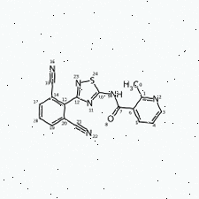 Cc1ncccc1C(=O)Nc1nc(-c2c(C#N)cccc2C#N)ns1